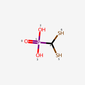 O=P(O)(O)C(S)S